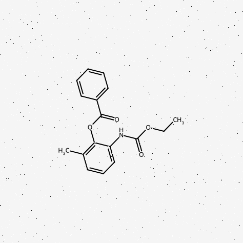 CCOC(=O)Nc1cccc(C)c1OC(=O)c1ccccc1